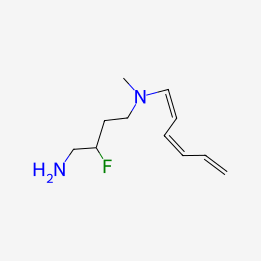 C=C/C=C\C=C/N(C)CCC(F)CN